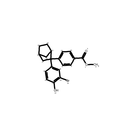 COC(=O)c1ccc(C2(c3ccc(O)c(Br)c3)CC3CCC2C3)cc1